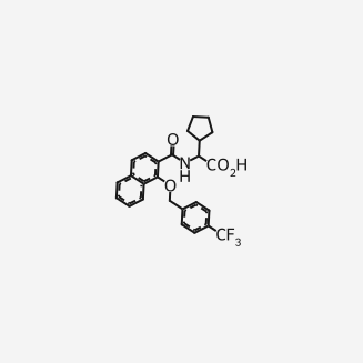 O=C(NC(C(=O)O)C1CCCC1)c1ccc2ccccc2c1OCc1ccc(C(F)(F)F)cc1